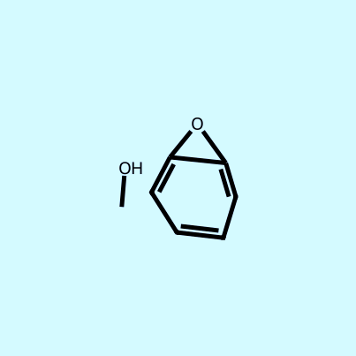 CO.c1ccc2c(c1)O2